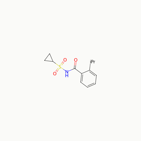 CC(C)c1ccccc1C(=O)NS(=O)(=O)C1CC1